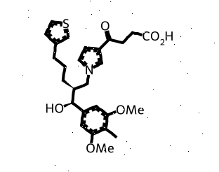 COc1cc([C@@H](O)[C@@H](CCCc2ccsc2)Cn2ccc(C(=O)CCC(=O)O)c2)cc(OC)c1C